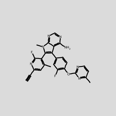 C#Cc1cc(C)c(-c2c(-c3ccc(Oc4nccc(C)n4)c(F)c3)c3c(N)ncnc3n2C)c(F)n1